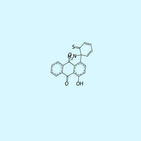 NC1(c2ccc(O)c3c2C(=O)c2ccccc2C3=O)C=CC=CC1=S